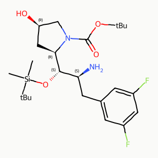 CC(C)(C)OC(=O)N1C[C@H](O)C[C@@H]1[C@@H](O[Si](C)(C)C(C)(C)C)[C@@H](N)Cc1cc(F)cc(F)c1